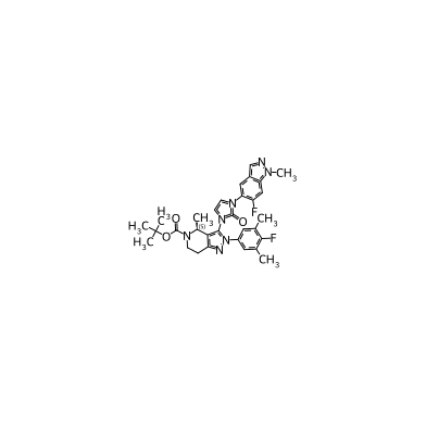 Cc1cc(-n2nc3c(c2-n2ccn(-c4cc5cnn(C)c5cc4F)c2=O)[C@H](C)N(C(=O)OC(C)(C)C)CC3)cc(C)c1F